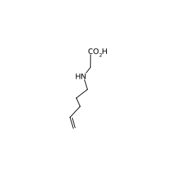 C=CCCCNCC(=O)O